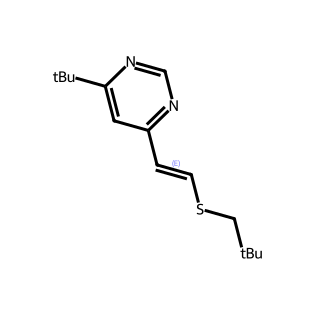 CC(C)(C)CS/C=C/c1cc(C(C)(C)C)ncn1